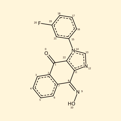 O=C1c2ccccc2C(=NO)c2ncn(-c3cccc(F)c3)c21